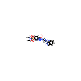 CCN(CC)S(=O)(=O)c1ccc(C(=O)NCCNC2=NCc3ccccc32)cc1